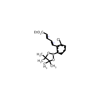 CCOC(=O)/C=C/C=C/c1c(Cl)cccc1B1OC(C)(C)C(C)(C)O1